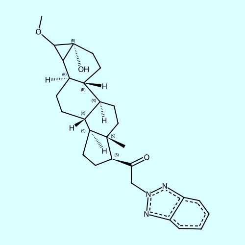 COC1C2[C@@H]3CC[C@@H]4[C@H](CC[C@]5(C)[C@@H](C(=O)Cn6nc7ccccc7n6)CC[C@@H]45)[C@H]3CC[C@]12O